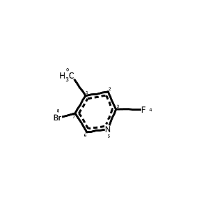 Cc1cc(F)ncc1Br